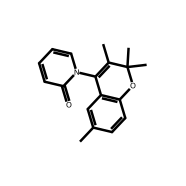 CC1=C(n2ccccc2=O)c2cc(C)ccc2OC1(C)C